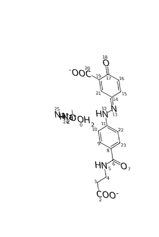 O.O.O=C([O-])CCNC(=O)c1ccc(N/N=C2/C=CC(=O)C(C(=O)[O-])=C2)cc1.[Na+].[Na+]